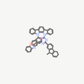 CC1C2=C(CCC=C2)c2ccc(-c3nc(-c4ccccc4)nc(-n4c5ccccc5c5ccc6c7ccccc7n(-c7cccc(-c8nc9ccccc9o8)c7)c6c54)n3)cc21